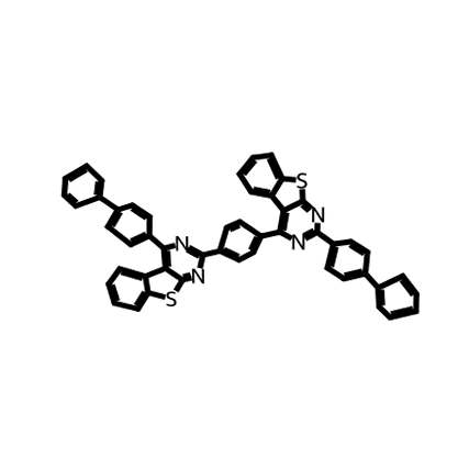 c1ccc(-c2ccc(-c3nc(-c4ccc(-c5nc(-c6ccc(-c7ccccc7)cc6)c6c(n5)sc5ccccc56)cc4)c4c(n3)sc3ccccc34)cc2)cc1